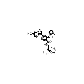 CC(C)(O)[C@H](F)CNC(=O)c1cnc(-c2cnn3cc(C#N)cnc23)cc1N[C@@H]1CCC[C@@H]1F